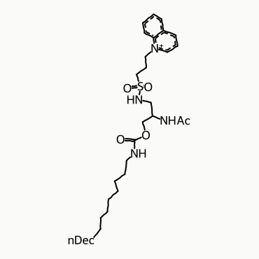 CCCCCCCCCCCCCCCCCCNC(=O)OCC(CNS(=O)(=O)CCC[n+]1cccc2ccccc21)NC(C)=O